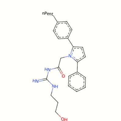 CCCCCc1ccc(-c2ccc(-c3ccccc3)n2CC(=O)NC(=N)NCCCO)cc1